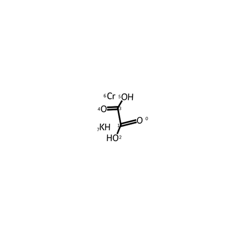 O=C(O)C(=O)O.[Cr].[KH]